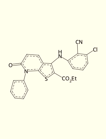 CCOC(=O)c1sc2c(ccc(=O)n2-c2ccccc2)c1Nc1cccc(Cl)c1C#N